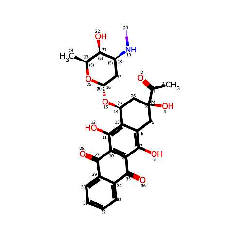 CC(=O)[C@]1(O)Cc2c(O)c3c(c(O)c2[C@@H](O[C@H]2C[C@H](NI)[C@H](O)[C@H](C)O2)C1)C(=O)c1ccccc1C3=O